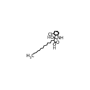 CCCCCCCCCCCCC(C(=O)O)C1(O)CNc2cccc(Cl)c21